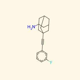 NC12CC3CC(C1)CC(C#Cc1cccc(F)c1)(C3)C2